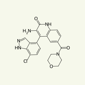 Nc1c(-c2ccc(Cl)c3[nH]ncc23)c2cc(C(=O)N3CCOCC3)ccc2[nH]c1=O